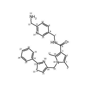 Cc1cc(C(=O)NCc2ccc(CN)nc2)c(C)n1Cc1csc(-c2ccccc2)n1